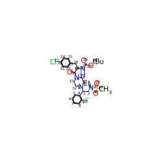 CCN(CC(c1ccccc1F)N1CCN(C(=O)[C@@H](Cc2ccc(Cl)cc2)NC(=O)OC(C)(C)C)CC1)S(C)(=O)=O